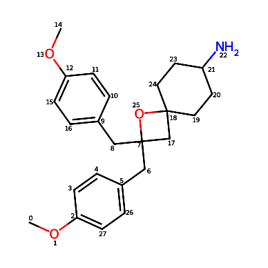 COc1ccc(CC2(Cc3ccc(OC)cc3)CC3(CCC(N)CC3)O2)cc1